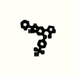 CCS(=O)(=O)c1ccc(Oc2cc3[nH]c(-c4ccccn4)nc3cc2C2CCOC2=O)cc1